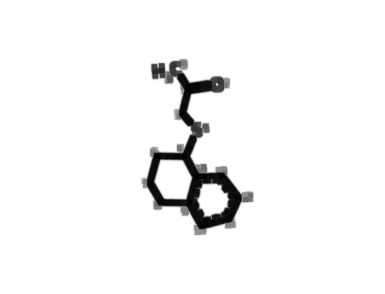 CC(=O)CSC1CCCc2ccccc21